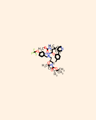 COC(=O)N[C@H](C(=O)NN(Cc1ccc(OC(F)(F)F)cc1)C[C@@H]1OC(C)(C)N(C(=O)OC(C)(C)C)[C@H]1Cc1ccc(-c2cccnc2)cc1)C(C)(C)C